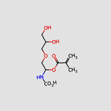 C=C(C)C(=O)OC(COCC(O)CO)NC(=O)O